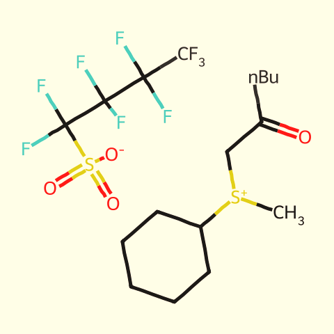 CCCCC(=O)C[S+](C)C1CCCCC1.O=S(=O)([O-])C(F)(F)C(F)(F)C(F)(F)C(F)(F)F